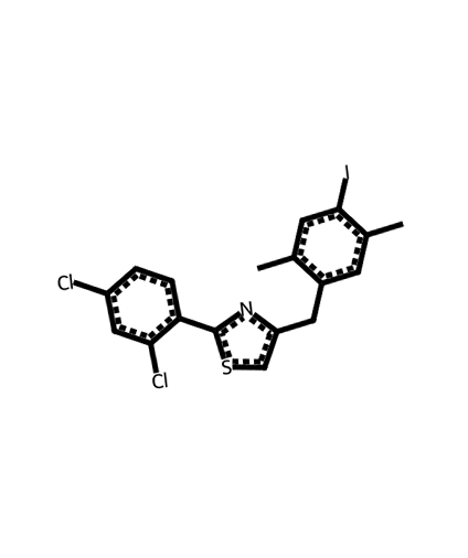 Cc1cc(Cc2csc(-c3ccc(Cl)cc3Cl)n2)c(C)cc1I